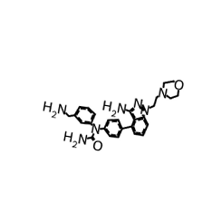 NCc1cccc(N(C(N)=O)c2ccc(-c3cccc4c3c(N)nn4CCN3CCOCC3)cc2)c1